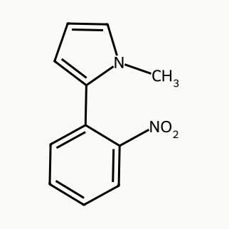 Cn1cccc1-c1ccccc1[N+](=O)[O-]